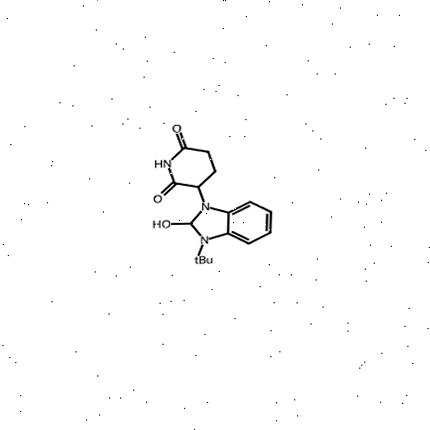 CC(C)(C)N1c2ccccc2N(C2CCC(=O)NC2=O)C1O